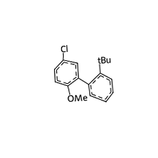 COc1ccc(Cl)cc1-c1ccccc1C(C)(C)C